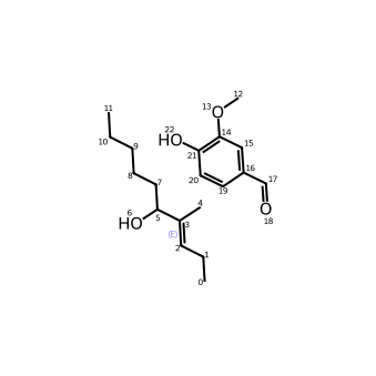 CC/C=C(\C)C(O)CCCCC.COc1cc(C=O)ccc1O